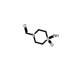 N=S1(=O)CCN([C]=O)CC1